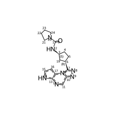 O=C(N[C@H]1CC[C@@H](c2nnc3cnc4[nH]ccc4n23)C1)N1CCCC1